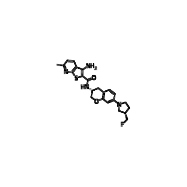 Cc1ccc2c(N)c(C(=O)N[C@H]3COc4cc(N5CC[C@@H](CF)C5)ccc4C3)sc2n1